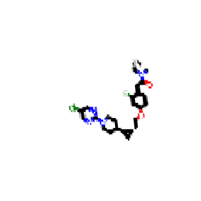 CC(C)CN(C)C(=O)Cc1ccc(OCC[C@@H]2CC2C2CCN(c3ncc(Cl)cn3)CC2)cc1F